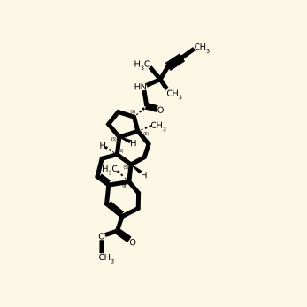 CC#CC(C)(C)NC(=O)[C@H]1CC[C@H]2[C@@H]3CC=C4C=C(C(=O)OC)CC[C@]4(C)[C@H]3CC[C@]12C